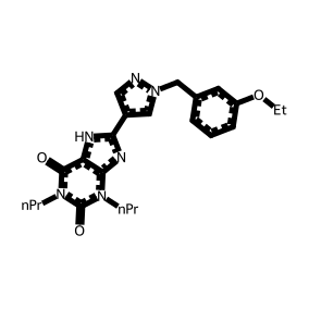 CCCn1c(=O)c2[nH]c(-c3cnn(Cc4cccc(OCC)c4)c3)nc2n(CCC)c1=O